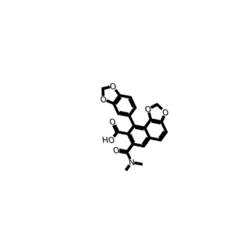 CN(C)C(=O)c1cc2ccc3c(c2c(-c2ccc4c(c2)OCO4)c1C(=O)O)OCO3